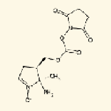 C[C@@]1(P)[C@H](COC(=O)ON2C(=O)CCC2=O)CC=[N+]1[O-]